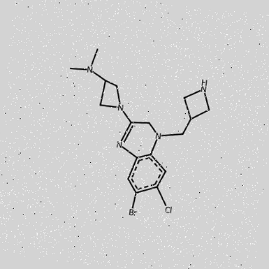 CN(C)C1CN(C2=Nc3cc(Br)c(Cl)cc3N(CC3CNC3)C2)C1